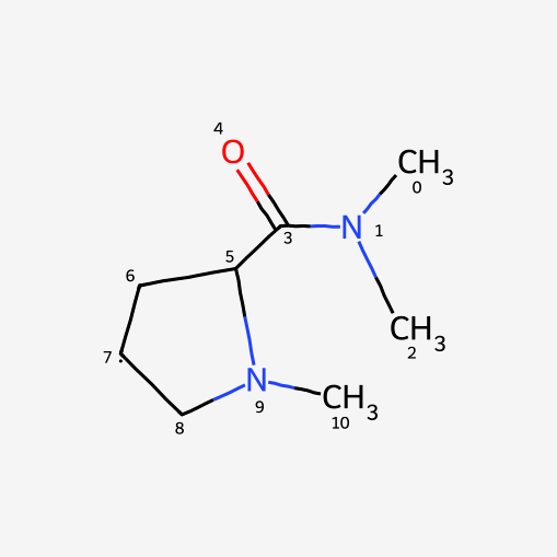 CN(C)C(=O)C1C[CH]CN1C